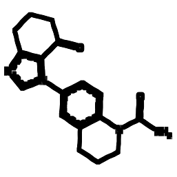 NC(=O)N1CCCc2cc(-n3cnc4c3C(=O)CCC4)ccc21